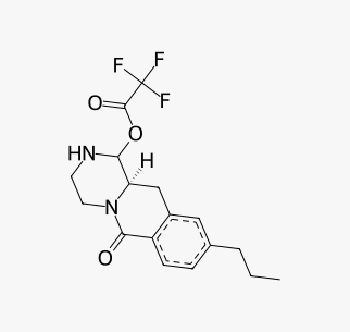 CCCc1ccc2c(c1)C[C@@H]1C(OC(=O)C(F)(F)F)NCCN1C2=O